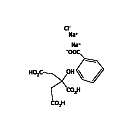 O=C(O)CC(O)(CC(=O)O)C(=O)O.O=C([O-])c1ccccc1.[Cl-].[Na+].[Na+]